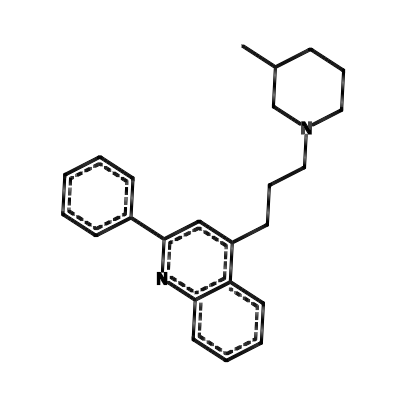 CC1CCCN(CCCc2cc(-c3ccccc3)nc3ccccc23)C1